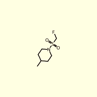 CC1CCN(S(=O)(=O)CF)CC1